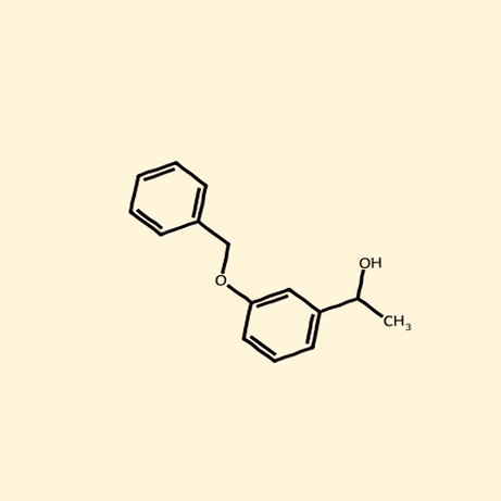 CC(O)c1cccc(OCc2ccccc2)c1